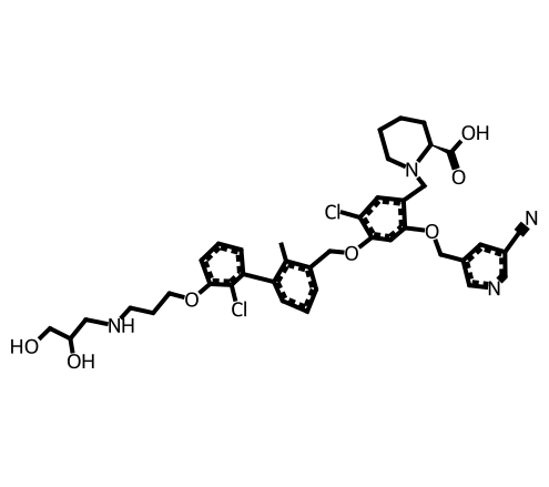 Cc1c(COc2cc(OCc3cncc(C#N)c3)c(CN3CCCC[C@H]3C(=O)O)cc2Cl)cccc1-c1cccc(OCCCNCC(O)CO)c1Cl